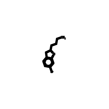 CCCCC1Cc2ccc([O])cc2O1